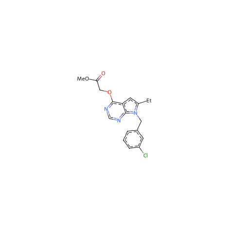 CCc1cc2c(OCC(=O)OC)ncnc2n1Cc1cccc(Cl)c1